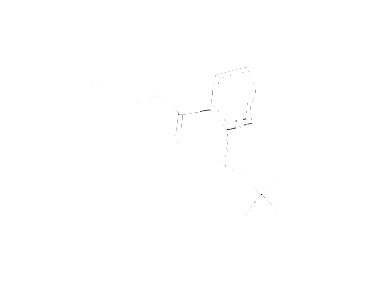 CCNC(=O)c1ccccc1NS(=O)(=O)C(F)(F)F